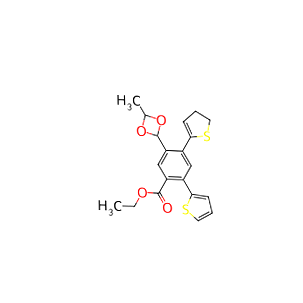 CCOC(=O)c1cc(C2OC(C)O2)c(C2=CCCS2)cc1-c1cccs1